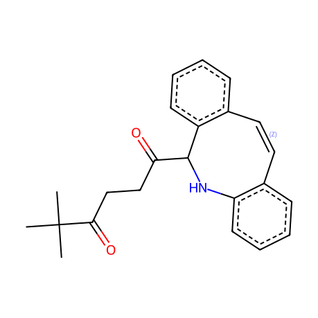 CC(C)(C)C(=O)CCC(=O)C1Nc2ccccc2/C=C\c2ccccc21